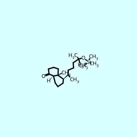 CC(CCCC(C)(C)O[Si](C)(C)C)[C@H]1CCC[C@H]2C(=O)CCC[C@]12C